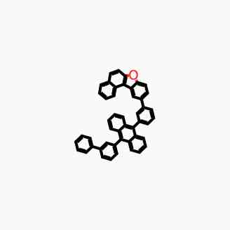 c1ccc(-c2cccc(-c3c4ccccc4c(-c4cccc(-c5ccc6oc7ccc8ccccc8c7c6c5)c4)c4ccccc34)c2)cc1